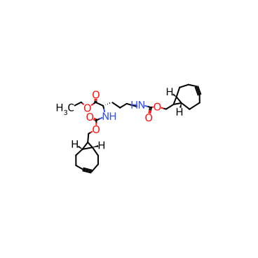 CCOC(=O)[C@H](CCCCNC(=O)OCC1[C@H]2CCC#CCC[C@@H]12)NC(=O)OCC1[C@H]2CCC#CCC[C@@H]12